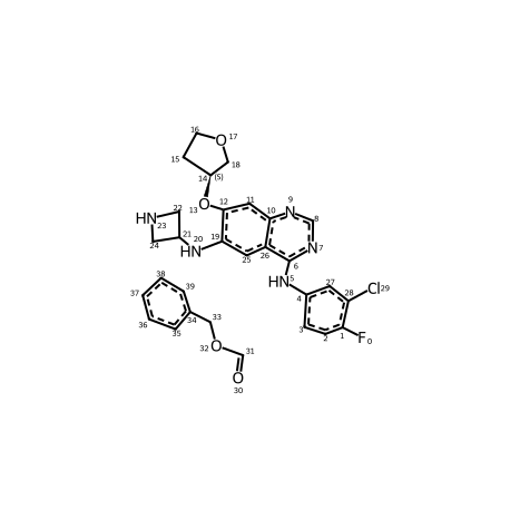 Fc1ccc(Nc2ncnc3cc(O[C@H]4CCOC4)c(NC4CNC4)cc23)cc1Cl.O=COCc1ccccc1